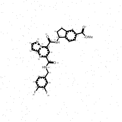 COC(=O)c1ccc2c(c1)CC[C@@H]2NC(=O)c1cc(C(=O)NCc2ccc(F)c(F)c2)nc2ccnn12